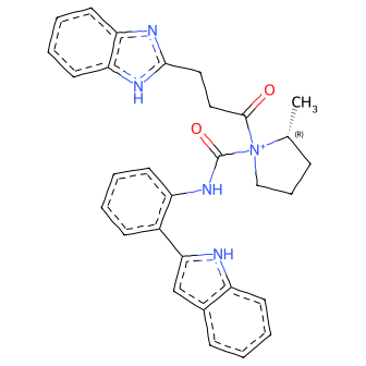 C[C@@H]1CCC[N+]1(C(=O)CCc1nc2ccccc2[nH]1)C(=O)Nc1ccccc1-c1cc2ccccc2[nH]1